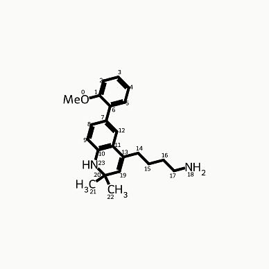 COc1ccccc1-c1ccc2c(c1)C(CCCCN)=CC(C)(C)N2